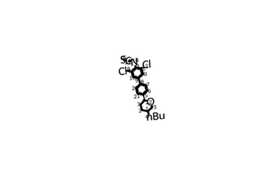 CCCCC1CC[C@@H](c2ccc(-c3cc(Cl)c(N=C=S)c(Cl)c3)cc2)OC1